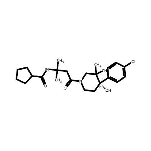 CC(C)(CC(=O)N1CC[C@](O)(c2ccc(Cl)cc2)C(C)(C)C1)NC(=O)C1CCCC1